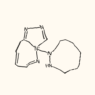 C1=CC2=NN=C[N+]2(N2CCCCCN2)N=C1